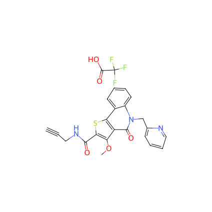 C#CCNC(=O)c1sc2c(c1OC)c(=O)n(Cc1ccccn1)c1ccccc21.O=C(O)C(F)(F)F